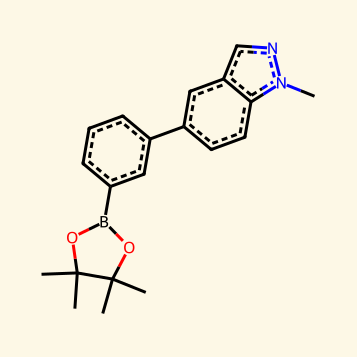 Cn1ncc2cc(-c3cccc(B4OC(C)(C)C(C)(C)O4)c3)ccc21